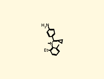 CCc1cccc(C)c1N(C)C(=C1CC1)c1ccc(N)cc1